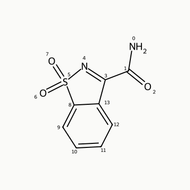 NC(=O)C1=NS(=O)(=O)c2ccccc21